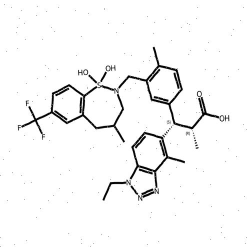 CCn1nnc2c(C)c([C@H](c3ccc(C)c(CN4CC(C)Cc5cc(C(F)(F)F)ccc5S4(O)O)c3)[C@@H](C)C(=O)O)ccc21